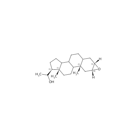 CC(O)[C@H]1CCC2C3CCC4C[C@@H]5O[C@@H]5C[C@]4(C)C3CC[C@@]21C